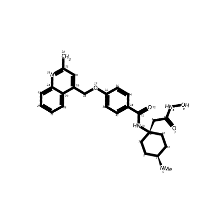 CN[C@H]1CC[C@](CC(=O)NO)(NC(=O)c2ccc(OCc3cc(C)nc4ccccc34)cc2)CC1